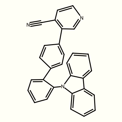 N#Cc1ccncc1-c1ccc(-c2ccccc2-n2c3ccccc3c3ccccc32)cc1